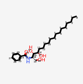 CCCCCCCCCCCCCC[C@@H](O)[C@@H](O)[C@H](CO)NC(=O)c1ccccc1